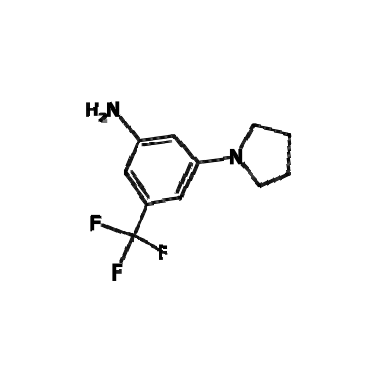 Nc1cc(N2CCCC2)cc(C(F)(F)F)c1